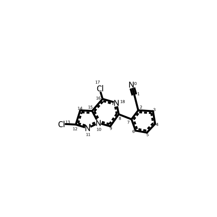 N#Cc1ccccc1-c1cn2nc(Cl)cc2c(Cl)n1